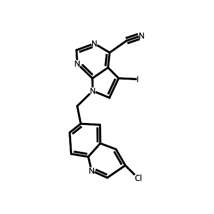 N#Cc1ncnc2c1c(I)cn2Cc1ccc2ncc(Cl)cc2c1